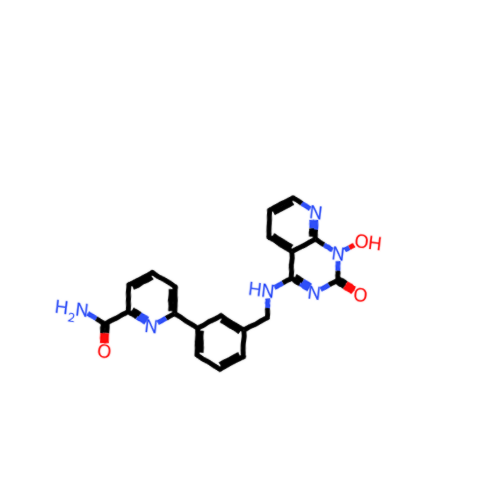 NC(=O)c1cccc(-c2cccc(CNc3nc(=O)n(O)c4ncccc34)c2)n1